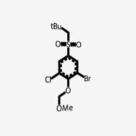 COCOc1c(Cl)cc(S(=O)(=O)CC(C)(C)C)cc1Br